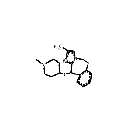 CN1CCC(OC2c3ccccc3CCn3cc(C(F)(F)F)nc32)CC1